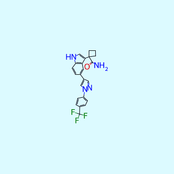 NC(=O)C1(c2c[nH]c3ccc(-c4cnn(-c5ccc(C(F)(F)F)cc5)c4)cc23)CCC1